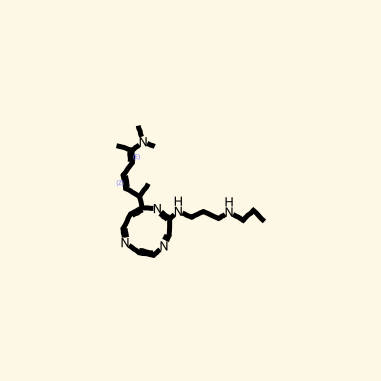 CCCNCCCNc1cnccnccc(C(C)/C=C\C=C(/C)N(C)C)n1